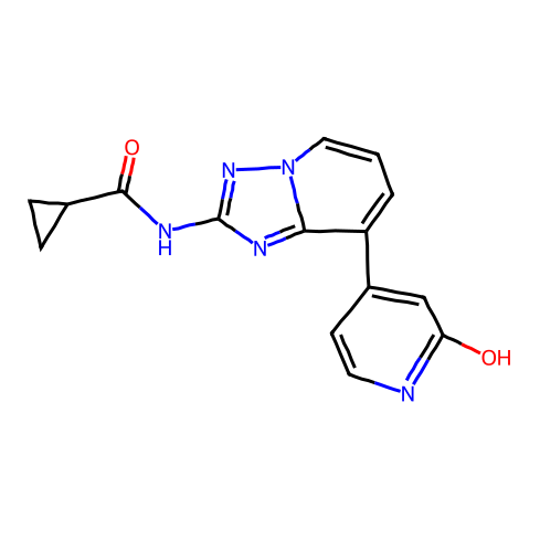 O=C(Nc1nc2c(-c3ccnc(O)c3)cccn2n1)C1CC1